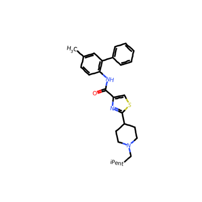 CCCC(C)CN1CCC(c2nc(C(=O)Nc3ccc(C)cc3-c3ccccc3)cs2)CC1